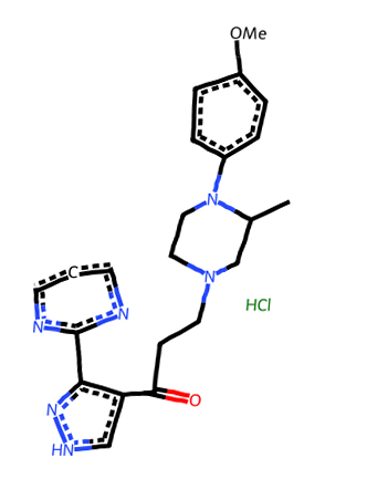 COc1ccc(N2CCN(CCC(=O)c3c[nH]nc3-c3ncccn3)CC2C)cc1.Cl